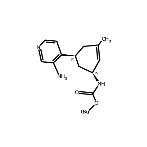 CC1=C[C@@H](NC(=O)OC(C)(C)C)C[C@@H](c2ccncc2N)C1